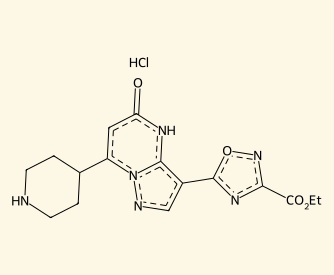 CCOC(=O)c1noc(-c2cnn3c(C4CCNCC4)cc(=O)[nH]c23)n1.Cl